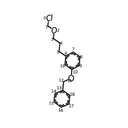 ClCOCCCc1cccc(OCc2ccccc2)c1